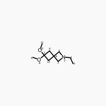 CCN1CC2(C1)CC(OC)(OC)C2